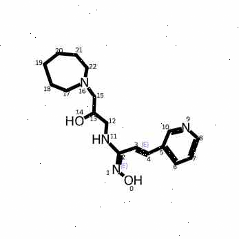 O/N=C(\C=C\c1cccnc1)NCC(O)CN1CCCCCC1